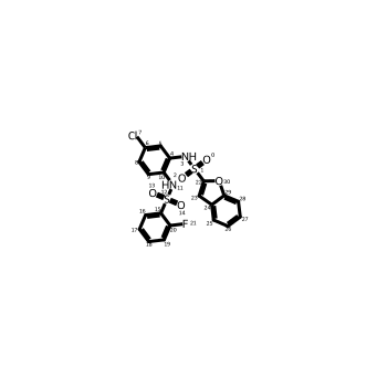 O=S(=O)(Nc1cc(Cl)ccc1NS(=O)(=O)c1ccccc1F)c1cc2ccccc2o1